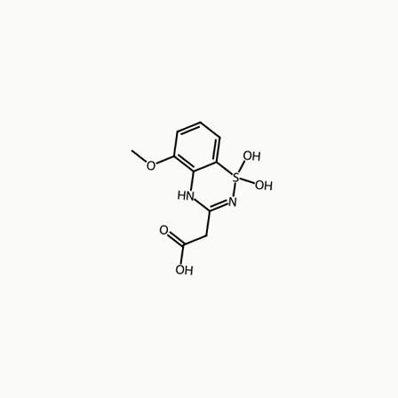 COc1cccc2c1NC(CC(=O)O)=NS2(O)O